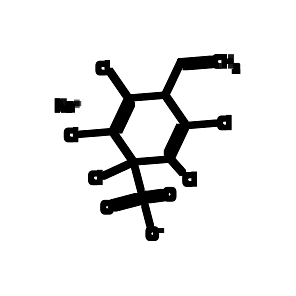 C=CC1C(Cl)=C(Cl)C(Cl)(S(=O)(=O)[O-])C(Cl)=C1Cl.[Na+]